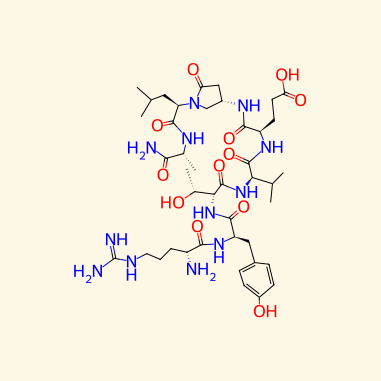 CC(C)C[C@H](C(=O)N[C@H](C)C(N)=O)N1C[C@@H](NC(=O)[C@@H](CCC(=O)O)NC(=O)[C@H](NC(=O)[C@H](NC(=O)[C@@H](Cc2ccc(O)cc2)NC(=O)[C@H](N)CCCNC(=N)N)[C@@H](C)O)C(C)C)CC1=O